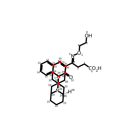 O=C(O)CCC(=NOCCO)c1nc2ccccc2n(C2CC3CCC[C@H](C2)N3C2CC3CCCC(C3)C2)c1=O